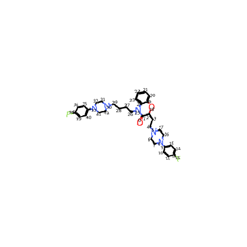 O=C1C(CCN2CCN(c3ccc(F)cc3)CC2)Oc2ccccc2N1CCCCN1CCN(c2ccc(F)cc2)CC1